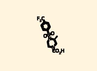 C[C@H]1CN(C(=O)O)CCN1S(=O)(=O)c1ccc(C(F)(F)F)cc1